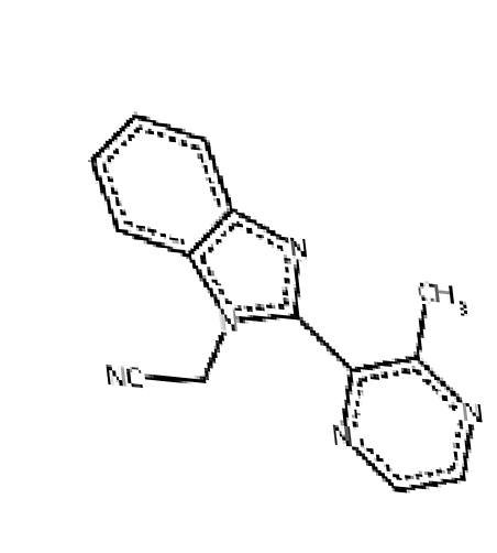 Cc1nccnc1-c1nc2ccccc2n1CC#N